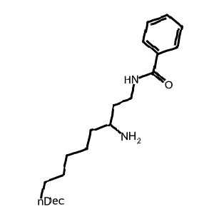 CCCCCCCCCCCCCCCC(N)CCNC(=O)c1ccccc1